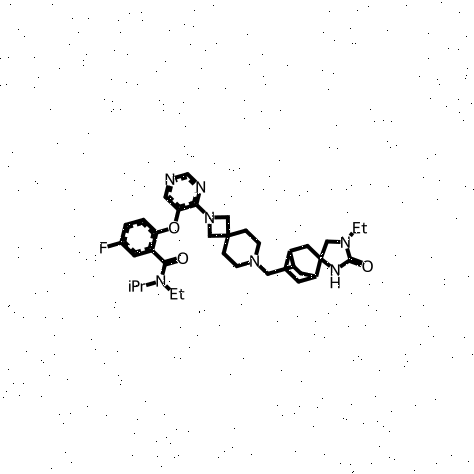 CCN1CC2(CC3CCC2CC3CN2CCC3(CC2)CN(c2ncncc2Oc2ccc(F)cc2C(=O)N(CC)C(C)C)C3)NC1=O